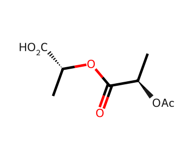 CC(=O)O[C@H](C)C(=O)O[C@H](C)C(=O)O